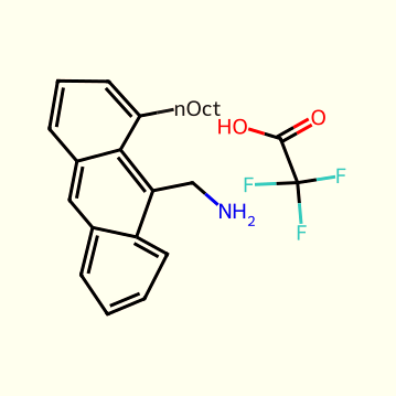 CCCCCCCCc1cccc2cc3ccccc3c(CN)c12.O=C(O)C(F)(F)F